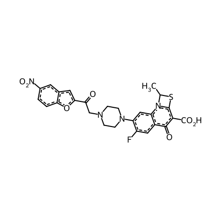 CC1Sc2c(C(=O)O)c(=O)c3cc(F)c(N4CCN(CC(=O)c5cc6cc([N+](=O)[O-])ccc6o5)CC4)cc3n21